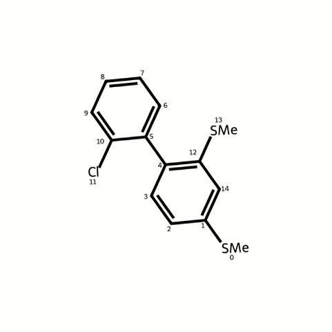 CSc1ccc(-c2ccccc2Cl)c(SC)c1